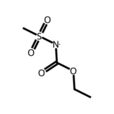 CCOC(=O)[N]S(C)(=O)=O